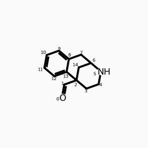 O=CC12CCNC(Cc3ccccc31)C2